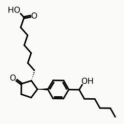 CCCCCC(O)c1ccc([C@H]2CCC(=O)[C@@H]2CCCCCCC(=O)O)cc1